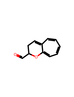 O=CC1CC=C2C=CC=CC=C2O1